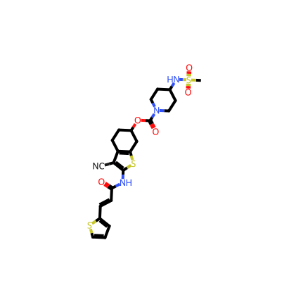 CS(=O)(=O)NC1CCN(C(=O)OC2CCc3c(sc(NC(=O)C=Cc4cccs4)c3C#N)C2)CC1